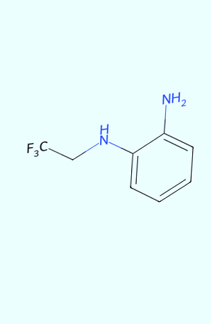 Nc1ccccc1NCC(F)(F)F